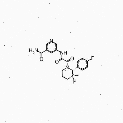 C[C@@]1(F)CCCN(C(=O)C(=O)Nc2cncc(C(N)=O)c2)[C@@H]1c1ccc(F)cc1